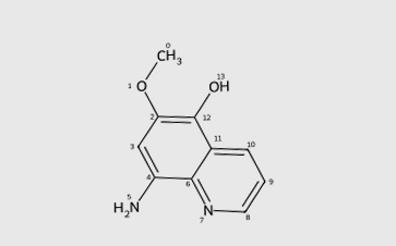 COc1cc(N)c2ncccc2c1O